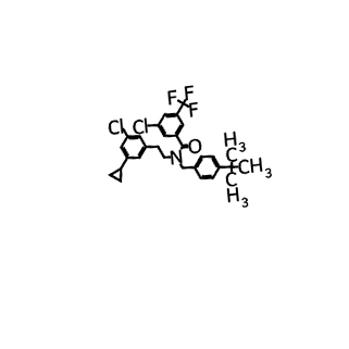 CC(C)(C)c1ccc(CN(CCc2cc(Cl)cc(C3CC3)c2)C(=O)c2cc(Cl)cc(C(F)(F)F)c2)cc1